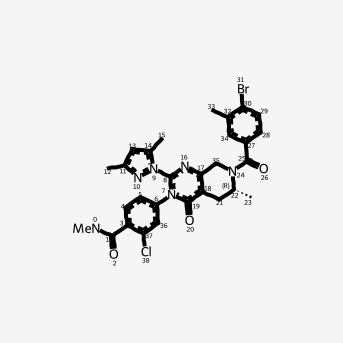 CNC(=O)c1ccc(-n2c(-n3nc(C)cc3C)nc3c(c2=O)C[C@@H](C)N(C(=O)c2ccc(Br)c(C)c2)C3)cc1Cl